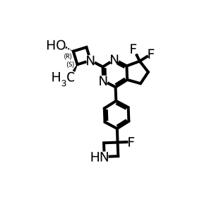 C[C@H]1[C@H](O)CN1c1nc(-c2ccc(C3(F)CNC3)cc2)c2c(n1)C(F)(F)CC2